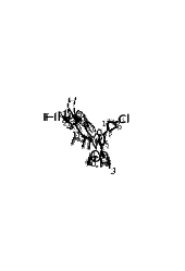 COC(=O)c1cc(-c2ccc(Cl)cc2)sc1NC(=O)CC1SC(=N)NC1=O